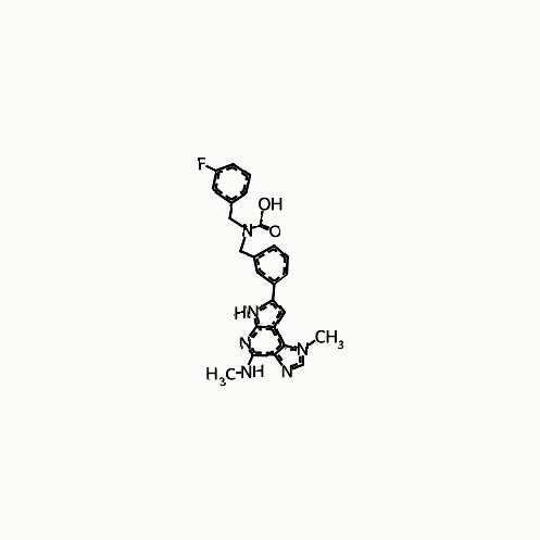 CNc1nc2[nH]c(-c3cccc(CN(Cc4cccc(F)c4)C(=O)O)c3)cc2c2c1ncn2C